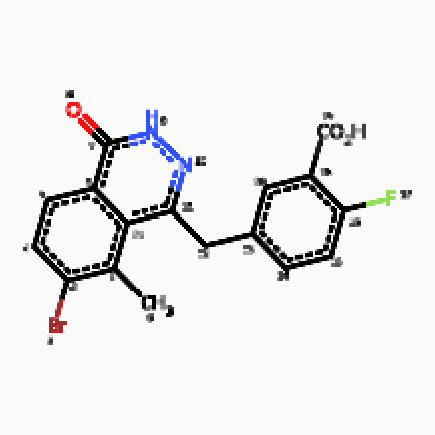 Cc1c(Br)ccc2c(=O)[nH]nc(Cc3ccc(F)c(C(=O)O)c3)c12